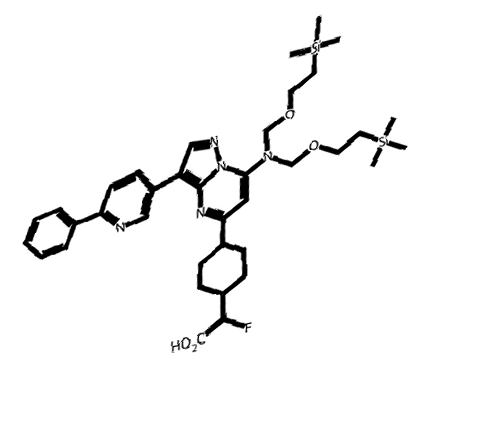 C[Si](C)(C)CCOCN(COCC[Si](C)(C)C)c1cc(C2CCC(C(F)C(=O)O)CC2)nc2c(-c3ccc(-c4ccccc4)nc3)cnn12